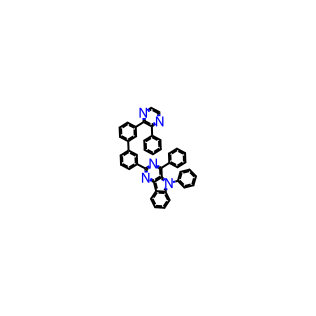 c1ccc(-c2nccnc2-c2cccc(-c3cccc(-c4nc(-c5ccccc5)c5c(n4)c4ccccc4n5-c4ccccc4)c3)c2)cc1